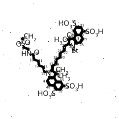 C=CS(=O)(=O)CCNC(=O)CCCCCN1/C(=C/C=C/C=C/C=C/C2=[N+](CC)c3ccc4c(S(=O)(=O)O)cc(S(=O)(=O)O)cc4c3C2(C)C)C(C)(C)c2c1ccc1c(S(=O)(=O)O)cc(S(=O)(=O)O)cc21